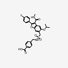 CNC(=O)c1c(-c2ccc(F)cc2)oc2cc(CS(=O)(=O)NCc3ccc(C(=O)O)cc3)c(OC(C)C)cc12